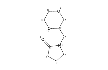 O=C1CCCN1CC1COCCO1